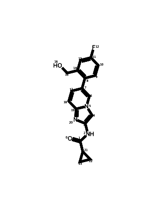 O=C(Nc1cn2cc(-c3ccc(F)cc3CO)ccc2n1)C1CC1